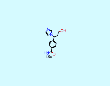 CC(C)(C)NC(=O)c1ccc(C(CCO)n2ccnc2)cc1